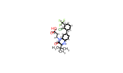 CC(C)(C)c1nc2ccc(-c3cccc(C(F)(F)F)c3Cl)cc2n(CCC(=O)O)c1=O